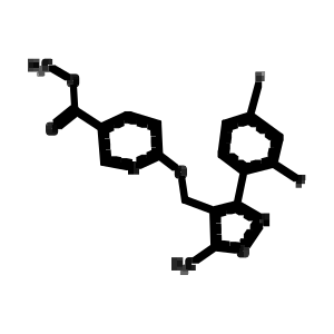 COC(=O)c1ccc(OCc2c(-c3ccc(F)cc3F)noc2C)nc1